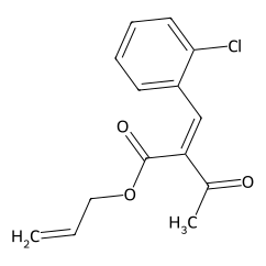 C=CCOC(=O)C(=Cc1ccccc1Cl)C(C)=O